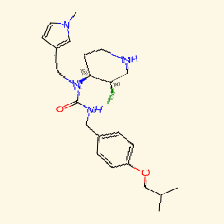 CC(C)COc1ccc(CNC(=O)N(Cc2ccn(C)c2)[C@H]2CCNC[C@H]2F)cc1